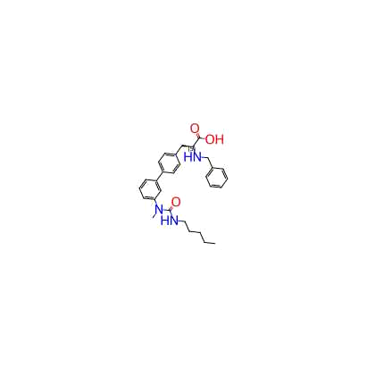 CCCCCNC(=O)N(C)c1cccc(-c2ccc(C[C@H](NCc3ccccc3)C(=O)O)cc2)c1